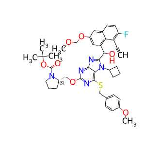 C#Cc1c(F)ccc2cc(OCOC)cc(C(O)c3nc4nc(OC[C@@H]5CCCN5C(=O)OC(C)(C)C)nc(SCc5ccc(OC)cc5)c4n3C3CCC3)c12